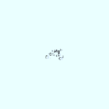 [Cl+].[Cl-].[Cl-].[Cl-].[Mg+2]